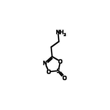 NCCC1=NOS(=O)O1